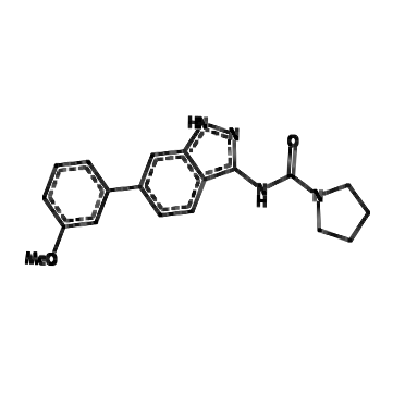 COc1cccc(-c2ccc3c(NC(=O)N4CCCC4)n[nH]c3c2)c1